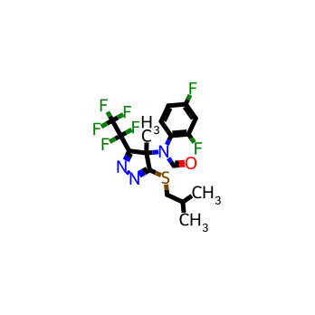 CC(C)CSC1=NN=C(C(F)(F)C(F)(F)F)C1(C)N(C=O)c1ccc(F)cc1F